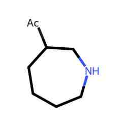 CC(=O)C1CCCCNC1